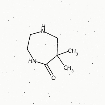 CC1(C)CNCCNC1=O